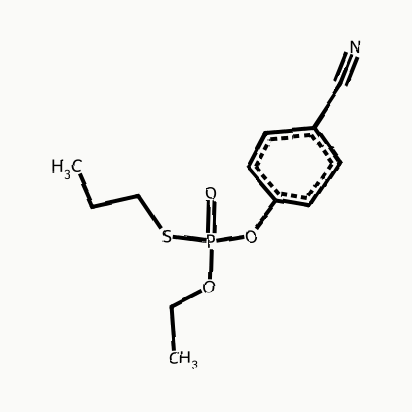 CCCSP(=O)(OCC)Oc1ccc(C#N)cc1